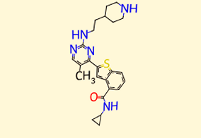 Cc1cnc(NCCC2CCNCC2)nc1-c1cc2c(C(=O)NC3CC3)cccc2s1